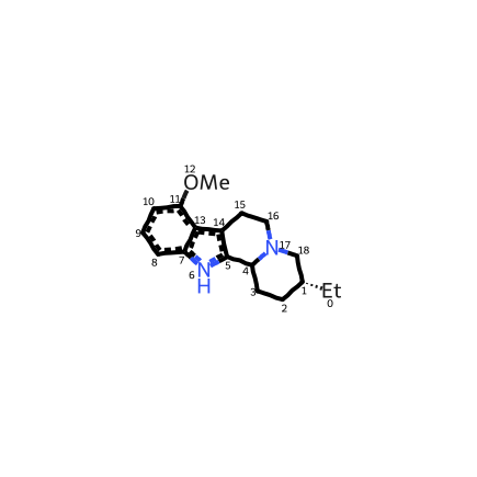 CC[C@@H]1CCC2c3[nH]c4cccc(OC)c4c3CCN2C1